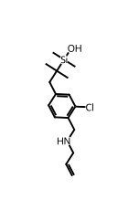 C=CCNCc1ccc(CC(C)(C)[Si](C)(C)O)cc1Cl